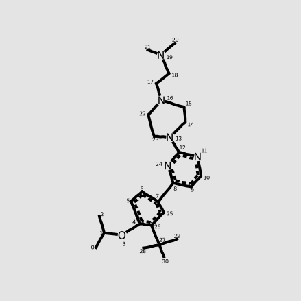 CC(C)Oc1ccc(-c2ccnc(N3CCN(CCN(C)C)CC3)n2)cc1C(C)(C)C